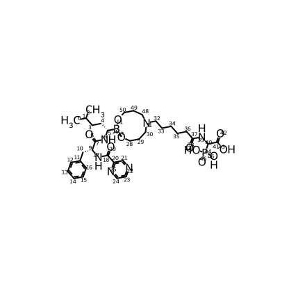 CC(C)CC[C@@H](NC(=O)[C@@H](Cc1ccccc1)NC(=O)c1cnccn1)B1OCCCN(CCCCCC(=O)NC(C(=O)O)P(=O)(O)O)CCCO1